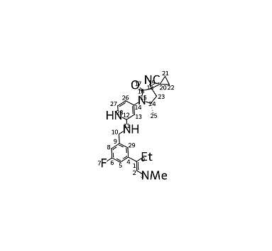 CC/C(=C\NC)c1cc(F)cc(CNC2C=C(N3C(=O)[C@](C#N)(C4CC4)C[C@@H]3C)C=CN2)c1